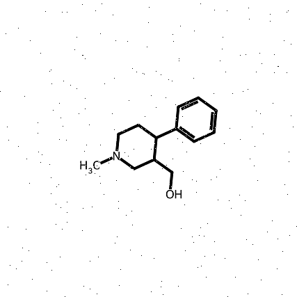 CN1CCC(c2ccccc2)C(CO)C1